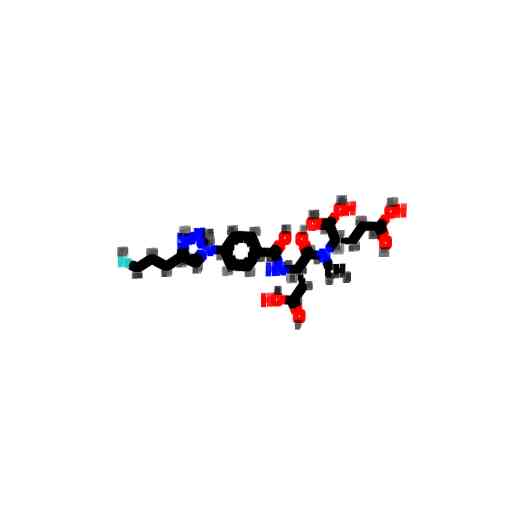 CN(C(=O)[C@H](CC(=O)O)NC(=O)c1ccc(-n2cc(CCCF)nn2)cc1)[C@@H](CCC(=O)O)C(=O)O